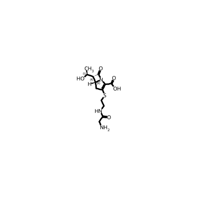 C[C@H](O)[C@@H]1C(=O)N2C(C(=O)O)=C(SCCNC(=O)CN)C[C@H]12